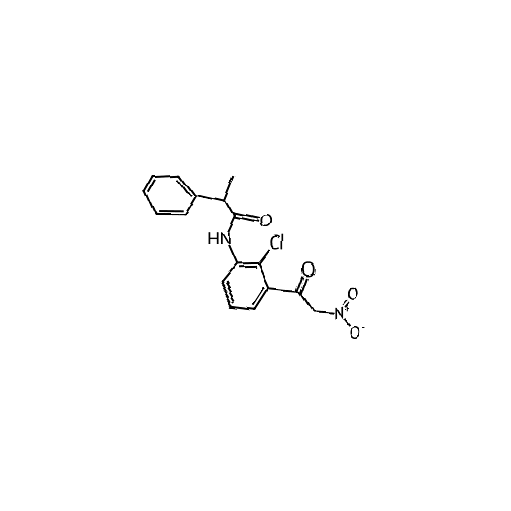 CC(C(=O)Nc1cccc(C(=O)C[N+](=O)[O-])c1Cl)c1ccccc1